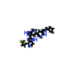 Fc1ccc(-c2nccc3[nH]c(-c4n[nH]c5cnc(-c6cncc(CNCC7CCCC7)c6)cc45)nc23)s1